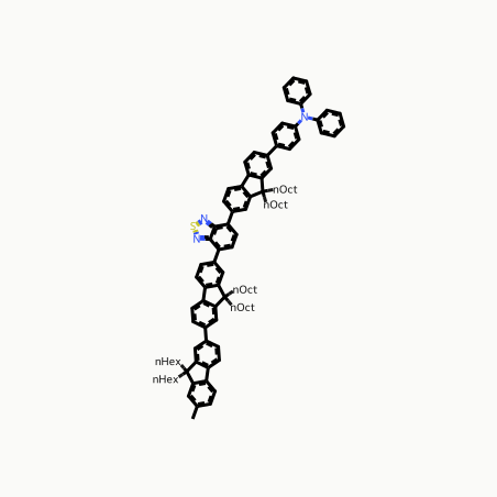 CCCCCCCCC1(CCCCCCCC)c2cc(-c3ccc(N(c4ccccc4)c4ccccc4)cc3)ccc2-c2ccc(-c3ccc(-c4ccc5c(c4)C(CCCCCCCC)(CCCCCCCC)c4cc(-c6ccc7c(c6)C(CCCCCC)(CCCCCC)c6cc(C)ccc6-7)ccc4-5)c4nsnc34)cc21